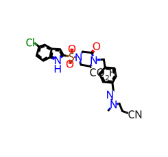 CN(CCC#N)N=Cc1ccc(CN2C(=O)CN(S(=O)(=O)c3cc4cc(Cl)ccc4[nH]3)C[C@@H]2C(=O)O)cc1